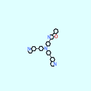 c1cnc2ccc(-c3ccc(N(c4ccc(-c5ccc6ncccc6c5)cc4)c4ccc(-c5cc6oc7ccccc7c6cn5)cc4)cc3)cc2c1